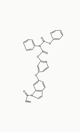 CNC(=O)n1ccc2ccc(Oc3ccnc(OC(=O)N(C(=O)Oc4ccccc4)c4ccccc4)c3)cc21